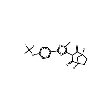 Cc1sc(-c2ccc(OC(F)(F)F)cc2)nc1C1C(=O)[C@@H]2CC[C@@H](C2)C1=O